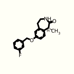 C[C@H]1C(=O)NCCc2cc(OCc3cccc(F)c3)ccc21